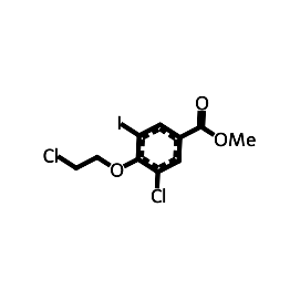 COC(=O)c1cc(Cl)c(OCCCl)c(I)c1